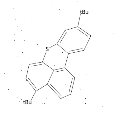 CC(C)(C)c1ccc2c(c1)Sc1ccc(C(C)(C)C)c3cccc-2c13